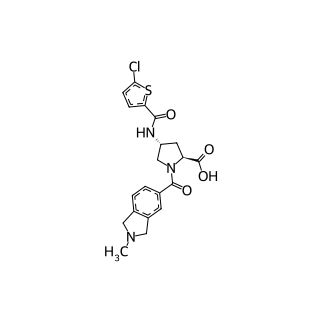 CN1Cc2ccc(C(=O)N3C[C@H](NC(=O)c4ccc(Cl)s4)C[C@H]3C(=O)O)cc2C1